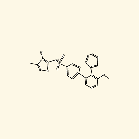 COc1cccc(-c2ccc(S(=O)(=O)Nc3onc(C)c3Br)cc2)c1-c1ccccc1